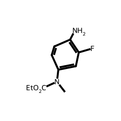 CCOC(=O)N(C)c1ccc(N)c(F)c1